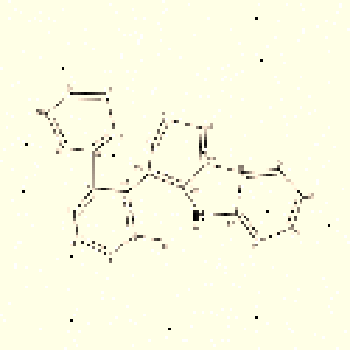 Cc1cccc(-c2ccccc2)c1-c1cccc2c1[nH]c1ccccc12